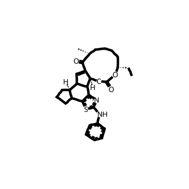 CC[C@H]1CCCC[C@@H](C)C(=O)C2=CC3C(c4nc(Nc5ccccc5)sc4C4CCC[C@H]43)[C@@H]2CC(=O)O1